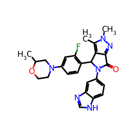 Cc1c2c(nn1C)C(=O)N(c1ccc3[nH]cnc3c1)C2c1ccc(N2CCOC(C)C2)cc1F